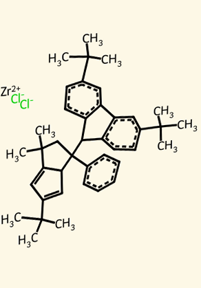 CC(C)(C)C1=CC2C(=C1)C(C)(C)CC2(c1ccccc1)C1c2ccc(C(C)(C)C)cc2-c2cc(C(C)(C)C)ccc21.[Cl-].[Cl-].[Zr+2]